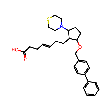 O=C(O)CCC=CCCC1C(OCc2ccc(-c3ccccc3)cc2)CCC1N1CCSCC1